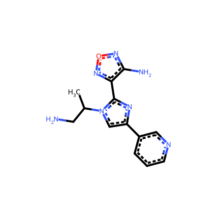 CC(CN)n1cc(-c2cccnc2)nc1-c1nonc1N